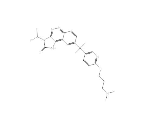 CN(C)CCCOc1ccc(C(C)(C)c2ccc3nnc4c([nH]c(=O)n4C(F)F)c3c2)cn1